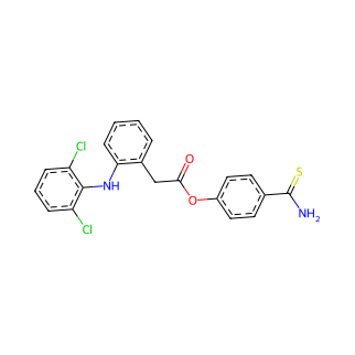 NC(=S)c1ccc(OC(=O)Cc2ccccc2Nc2c(Cl)cccc2Cl)cc1